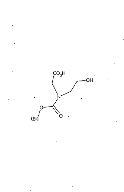 CC(C)(C)OC(=O)N(CCO)CC(=O)O